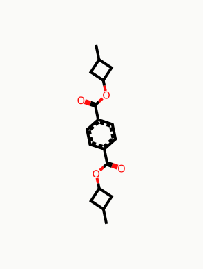 CC1CC(OC(=O)c2ccc(C(=O)OC3CC(C)C3)cc2)C1